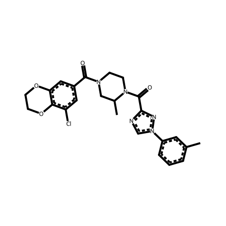 Cc1cccc(-n2cnc(C(=O)N3CCN(C(=O)c4cc(Cl)c5c(c4)OCCO5)CC3C)n2)c1